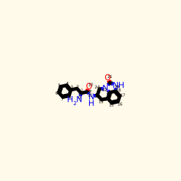 NC(Cc1ccccc1)C(=O)NC1Cc2cccc3[nH]c(=O)n(c23)C1